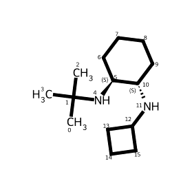 CC(C)(C)N[C@H]1CCCC[C@@H]1NC1CCC1